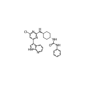 O=C(Nc1ccccc1)N[C@H]1CC[C@H](Nc2nc(Cl)cc(-c3c[nH]c4ncccc34)n2)CC1